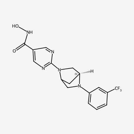 O=C(NO)c1cnc(N2C[C@@H]3CC2CN3c2cccc(C(F)(F)F)c2)nc1